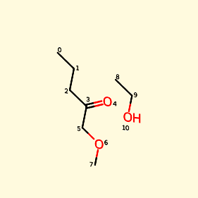 CCCC(=O)COC.CCO